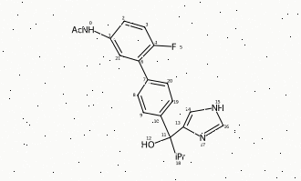 CC(=O)Nc1ccc(F)c(-c2ccc(C(O)(c3c[nH]cn3)C(C)C)cc2)c1